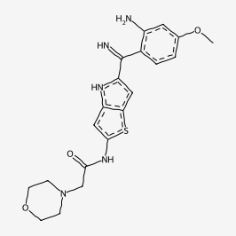 COc1ccc(C(=N)c2cc3sc(NC(=O)CN4CCOCC4)cc3[nH]2)c(N)c1